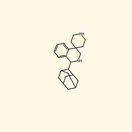 c1ccc2c(c1)C(C1C3CC4CC(C3)CC1C4)NCC21CCNCC1